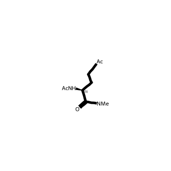 CNC(=O)[C@H](CCC(C)=O)NC(C)=O